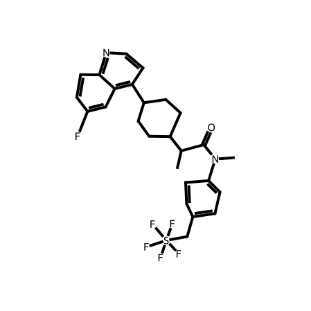 CC(C(=O)N(C)c1ccc(CS(F)(F)(F)(F)F)cc1)C1CCC(c2ccnc3ccc(F)cc23)CC1